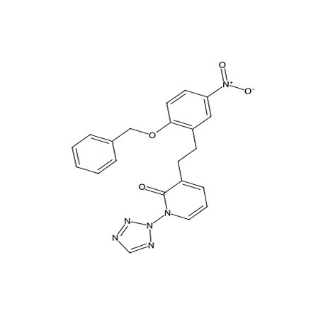 O=c1c(CCc2cc([N+](=O)[O-])ccc2OCc2ccccc2)cccn1-n1ncnn1